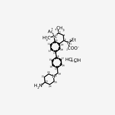 CCN(C(=O)[O-])C1C[C@H](C)[N@+](C)(C(C)=O)c2ccc(-c3ccc(CN4CCC(N)CC4)cc3)cc21.Cl.Cl